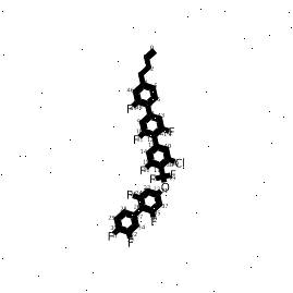 C=CCCc1ccc(-c2cc(F)c(-c3cc(F)c(C(F)(F)Oc4cc(F)c(-c5ccc(F)c(F)c5)c(F)c4)c(Cl)c3)c(F)c2)c(F)c1